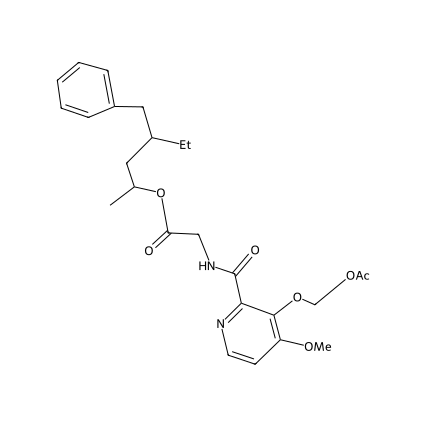 CCC(Cc1ccccc1)CC(C)OC(=O)CNC(=O)c1nccc(OC)c1OCOC(C)=O